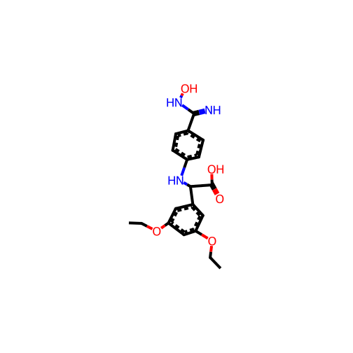 CCOc1cc(OCC)cc(C(Nc2ccc(C(=N)NO)cc2)C(=O)O)c1